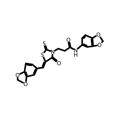 O=C(CCN1C(=O)/C(=C/c2ccc3c(c2)OCO3)SC1=S)Nc1ccc2c(c1)OCO2